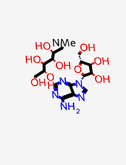 CNC[C@H](O)[C@@H](O)[C@H](O)[C@H](O)CO.Nc1ncnc2c1ncn2[C@@H]1O[C@H](CO)[C@@H](O)[C@H]1O